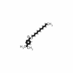 C=C(C)c1ccc(C(=O)OCCCCCCCCCCCC)cc1